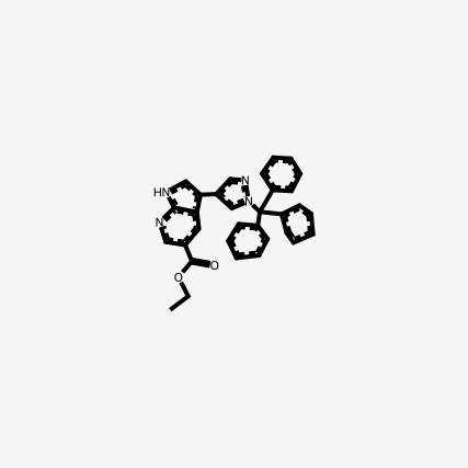 CCOC(=O)c1cnc2[nH]cc(-c3cnn(C(c4ccccc4)(c4ccccc4)c4ccccc4)c3)c2c1